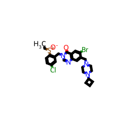 CC[S+]([O-])c1ccc(Cl)cc1Cn1cnc2cc(CN3CCN(C4CCC4)CC3)c(Br)cc2c1=O